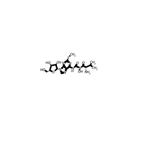 CSc1nc(NC(=O)N(O)C(=O)[C@@H](N)C(C)C)c2ncn([C@@H]3O[C@H](CO)[C@@H](O)[C@H]3O)c2n1